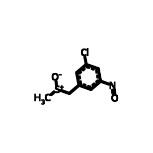 C[S+]([O-])Cc1cc(Cl)cc(N=O)c1